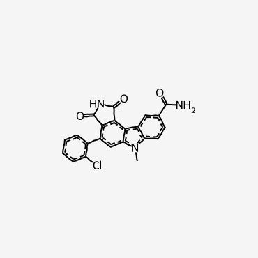 Cn1c2ccc(C(N)=O)cc2c2c3c(c(-c4ccccc4Cl)cc21)C(=O)NC3=O